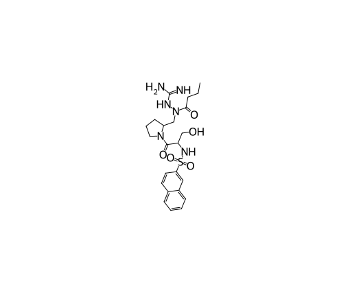 CCCC(=O)N(CC1CCCN1C(=O)C(CO)NS(=O)(=O)c1ccc2ccccc2c1)NC(=N)N